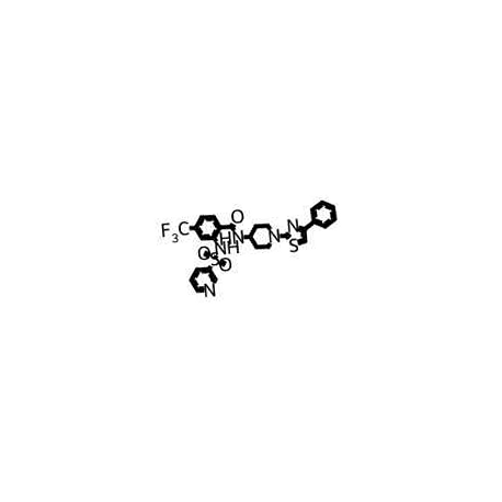 O=C(NC1CCN(c2nc(-c3ccccc3)cs2)CC1)c1ccc(C(F)(F)F)cc1NS(=O)(=O)c1cccnc1